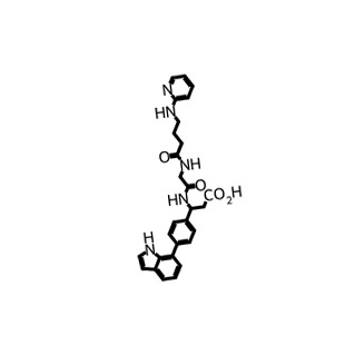 O=C(O)CC(NC(=O)CNC(=O)CCCNc1ccccn1)c1ccc(-c2cccc3cc[nH]c23)cc1